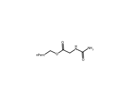 CCCCCCOC(=O)CNC(N)=O